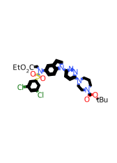 CCOC(=O)CN(c1ccc2c(ccn2-c2ccc(N3CCCN(C(=O)OC(C)(C)C)CC3)nn2)c1)S(=O)(=O)C1C=C(Cl)C=C(Cl)C1